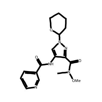 CON(C)C(=O)c1nn(C2CCCCO2)cc1NC(=O)c1cccnc1